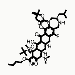 CCCCOc1noc2c1C(=O)[C@@]1(O[Si](C)(C)C(C)(C)C)C(O)=C3C(=O)c4c(c(F)c5c(c4OCCCC)N(C(=O)OC(C)(C)C)C[C@@H](CC(C)C)NC5)C[C@H]3C[C@H]1[C@@H]2N(C)C